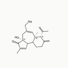 C=C(C)[C@@H]1C(=C)CCC2C3C=C(C)C(=O)[C@@]3(O)CC(CO)=C[C@]21C